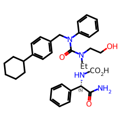 CCN(CCO)C(=O)N(Cc1ccc(C2CCCCC2)cc1)c1ccccc1.NC(=O)[C@@H](NC(=O)O)c1ccccc1